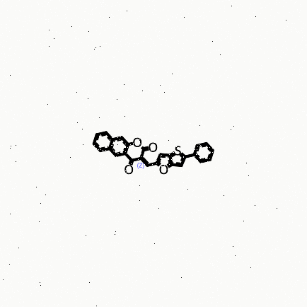 O=C1Oc2cc3ccccc3cc2C(=O)/C1=C/c1cc2sc(-c3ccccc3)cc2o1